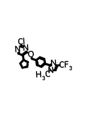 Cn1cc(C(F)(F)F)nc1-c1ccc(COc2nc(Cl)ncc2C2CCCC2)cc1